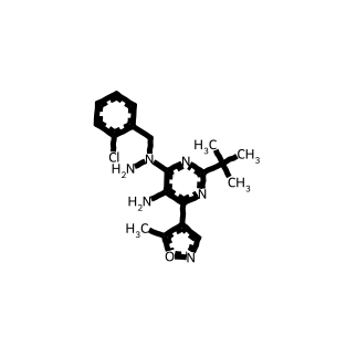 Cc1oncc1-c1nc(C(C)(C)C)nc(N(N)Cc2ccccc2Cl)c1N